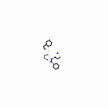 COc1ccc2c(ccn2C[C@@H]2CCc3nc(-c4ccc(F)cc4)c(-c4ccnc(N)n4)n32)c1